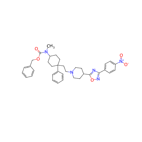 CN(C(=O)OCc1ccccc1)C1CCC(CCN2CCC(c3nc(-c4ccc([N+](=O)[O-])cc4)no3)CC2)(c2ccccc2)CC1